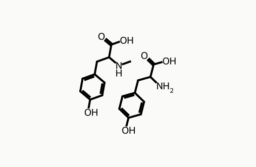 CNC(Cc1ccc(O)cc1)C(=O)O.NC(Cc1ccc(O)cc1)C(=O)O